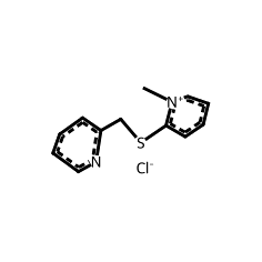 C[n+]1ccccc1SCc1ccccn1.[Cl-]